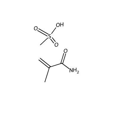 C=C(C)C(N)=O.CS(=O)(=O)O